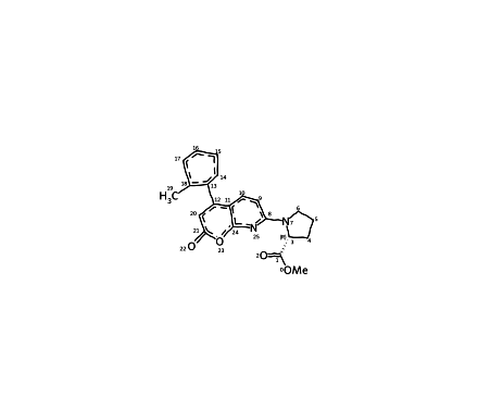 COC(=O)[C@H]1CCCN1c1ccc2c(-c3ccccc3C)cc(=O)oc2n1